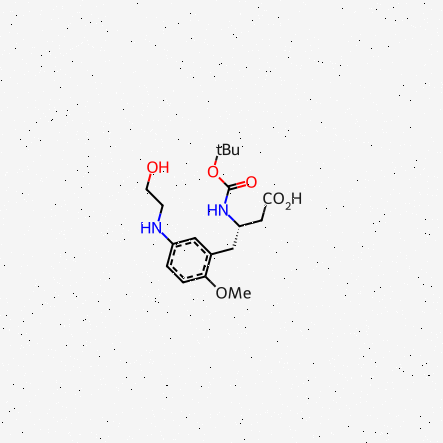 COc1ccc(NCCO)cc1C[C@@H](CC(=O)O)NC(=O)OC(C)(C)C